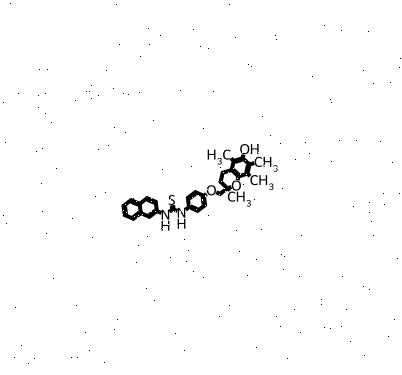 Cc1c(C)c2c(c(C)c1O)CCC(C)(COc1ccc(NC(=S)Nc3ccc4ccccc4c3)cc1)O2